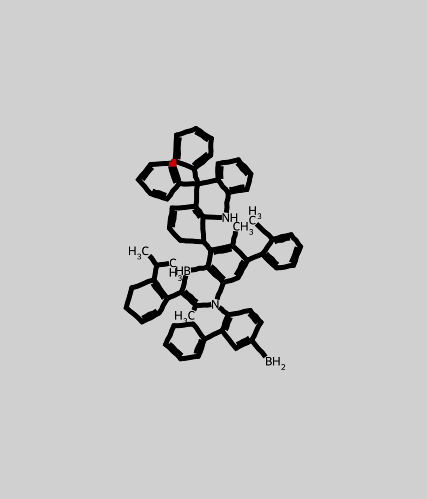 Bc1ccc(N2C(C)=C(C3=C(C(C)C)CCC=C3)Bc3c2cc(-c2ccccc2C)c(C)c3C2CC=CC3=C2Nc2ccccc2C3(c2ccccc2)c2ccccc2)c(C2=CC=CCC2)c1